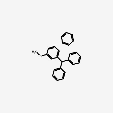 COc1cccc(C(c2ccccc2)c2ccccc2)c1.c1ccccc1